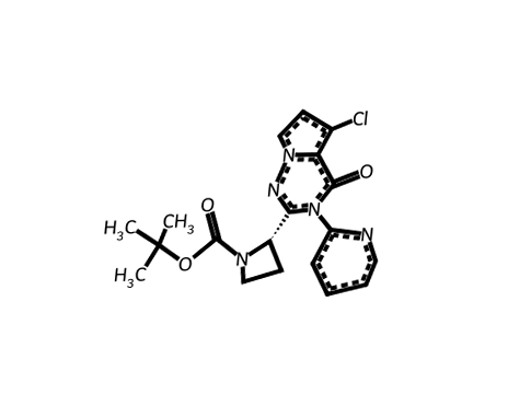 CC(C)(C)OC(=O)N1CC[C@H]1c1nn2ccc(Cl)c2c(=O)n1-c1ccccn1